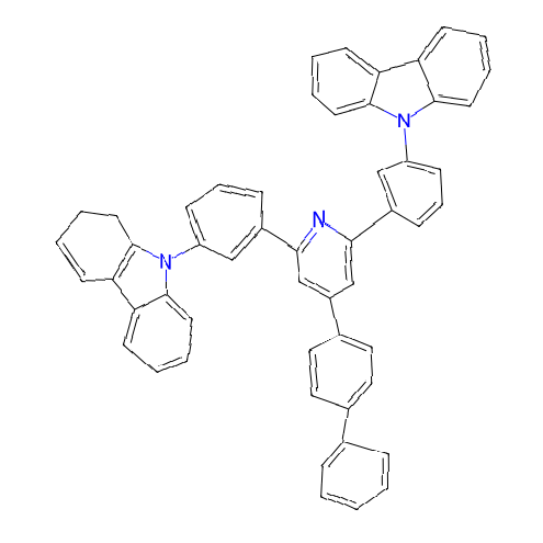 C1=Cc2c(n(-c3cccc(-c4cc(-c5ccc(-c6ccccc6)cc5)cc(-c5cccc(-n6c7ccccc7c7ccccc76)c5)n4)c3)c3ccccc23)CC1